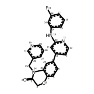 O=C1COc2ccc(-c3ccnc(Nc4cccc(F)c4)c3)cc2N1Cc1cccnc1